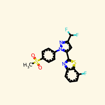 CS(=O)(=O)c1ccc(-n2nc(C(F)F)cc2-c2nc3cccc(F)c3s2)cc1